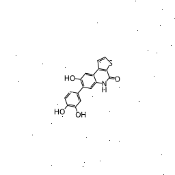 O=c1[nH]c2cc(-c3ccc(O)c(O)c3)c(O)cc2c2ccsc12